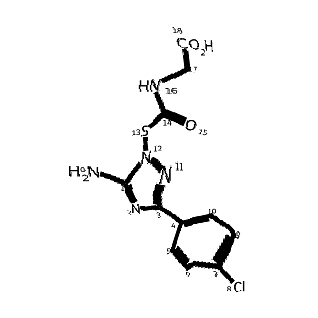 Nc1nc(-c2ccc(Cl)cc2)nn1SC(=O)NCC(=O)O